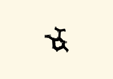 Cc1ccc(O)c(N(C)C)n1